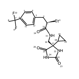 CC[C@H](Cc1ccc(C(C)(F)F)cc1)C(=O)NC[C@@]1(C2CC2)NC(=O)NC1=O